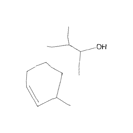 CC(C)C(C)O.CC1C=CCCC1